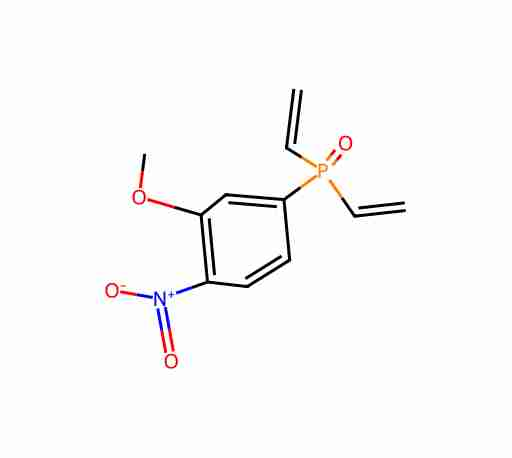 C=CP(=O)(C=C)c1ccc([N+](=O)[O-])c(OC)c1